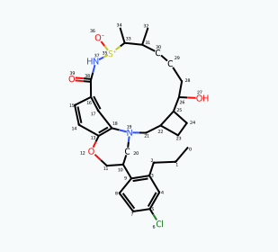 CCCc1cc(Cl)ccc1C1COc2ccc3cc2N(C1)CC1CCC1C(O)CCCC(C)C(C)[S+]([O-])NC3=O